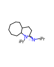 CC(C)/N=C1\CCC2CCCCCCC2N1C(C)C